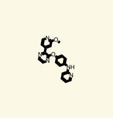 COc1cc(-c2nccnc2Oc2ccc(Nc3ccccn3)cc2)ccn1